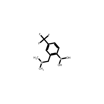 CN(C)Cc1cc(C(F)(F)F)ccc1B(O)O